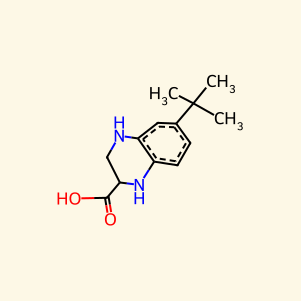 CC(C)(C)c1ccc2c(c1)NCC(C(=O)O)N2